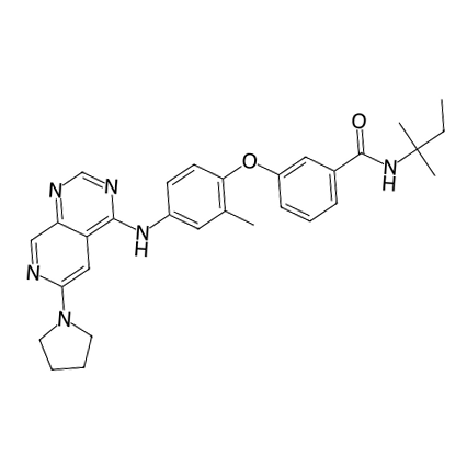 CCC(C)(C)NC(=O)c1cccc(Oc2ccc(Nc3ncnc4cnc(N5CCCC5)cc34)cc2C)c1